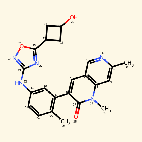 Cc1cc2c(cn1)cc(-c1cc(Nc3noc(C4CC(O)C4)n3)ccc1C)c(=O)n2C